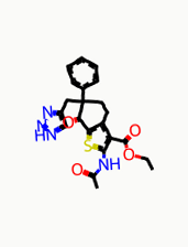 CCOC(=O)c1c(NC(C)=O)sc2c1CCC(Cc1c[nH]nn1)(c1ccccc1)C2=O